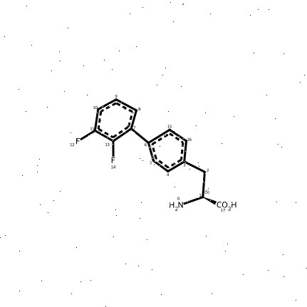 N[C@@H](Cc1ccc(-c2cccc(F)c2F)cc1)C(=O)O